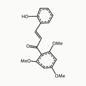 COc1cc(OC)c(C(=O)C=Cc2ccccc2O)c(OC)c1